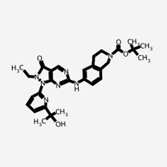 CCn1c(=O)c2cnc(Nc3ccc4c(c3)CCN(C(=O)OC(C)(C)C)C4)nc2n1-c1cccc(C(C)(C)O)n1